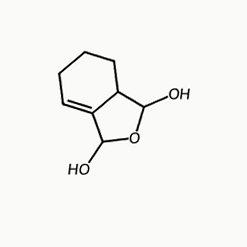 OC1OC(O)C2CCCC=C12